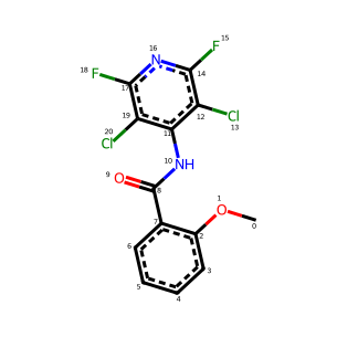 COc1ccccc1C(=O)Nc1c(Cl)c(F)nc(F)c1Cl